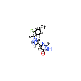 CCc1ccc(C(C)n2cc(-c3cc(=O)[nH]c(C)n3)cn2)c(F)c1